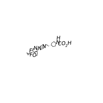 FC1(F)CC1.O=C(O)N[C@H]1CC[C@H](CCN2CCN(c3nccc4c3CCO4)CC2)CC1